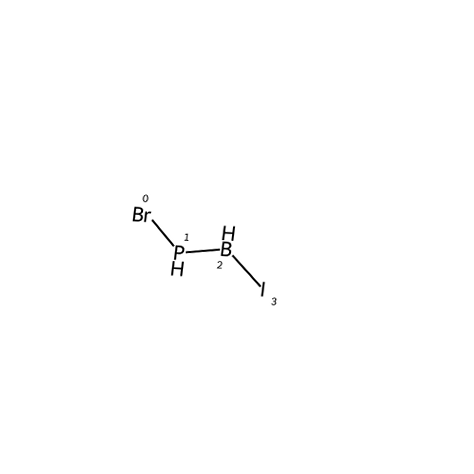 BrPBI